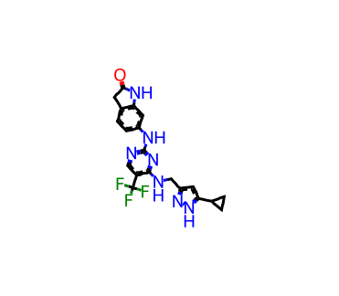 O=C1Cc2ccc(Nc3ncc(C(F)(F)F)c(NCc4cc(C5CC5)[nH]n4)n3)cc2N1